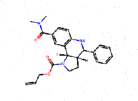 C=CCOC(=O)N1CC[C@H]2C(c3ccccc3)Nc3ccc(C(=O)N(C)C)cc3[C@H]21